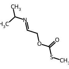 CSC(=O)OCC=NC(C)C